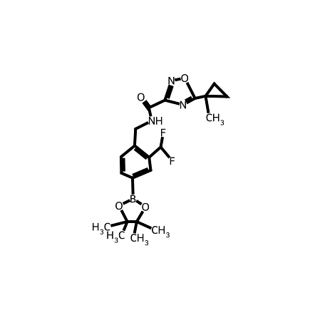 CC1(c2nc(C(=O)NCc3ccc(B4OC(C)(C)C(C)(C)O4)cc3C(F)F)no2)CC1